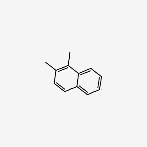 Cc1ccc2c[c]ccc2c1C